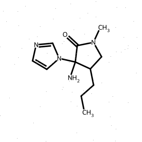 CCCC1CN(C)C(=O)C1(N)n1ccnc1